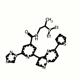 CCN(CC)C(C)CNC(=O)c1cc(-c2cnn3ccc(-c4cccs4)nc23)nc(-n2cncn2)c1